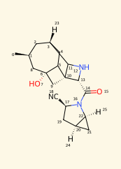 C[C@H]1C[C@@H]2CC3[C@](O)(C1)C[C@@]31C2N[C@@H]1C(=O)N1[C@H](C#N)C[C@@H]2C[C@@H]21